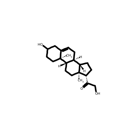 C[C@]12CC[C@H]3[C@@H](CC=C4CC(O)CC[C@@]43C)[C@@H]1CC[C@@H]2C(=O)CO